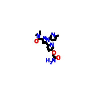 CCN(C)C(=O)c1cc(-c2ccc(OCC(N)=O)cn2)n(-c2ccc(C)nc2)n1